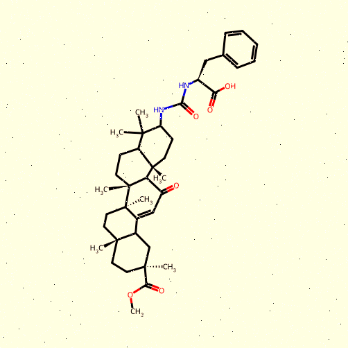 COC(=O)[C@@]1(C)CC[C@]2(C)CC[C@]3(C)C(=CC(=O)C4[C@@]5(C)CCC(NC(=O)N[C@@H](Cc6ccccc6)C(=O)O)C(C)(C)C5CC[C@]43C)C2C1